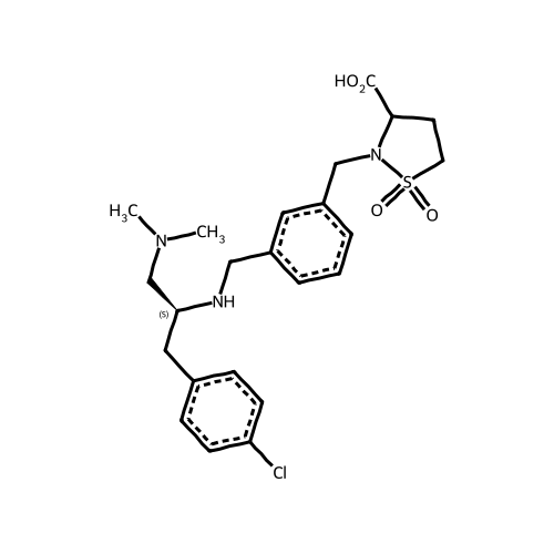 CN(C)C[C@H](Cc1ccc(Cl)cc1)NCc1cccc(CN2C(C(=O)O)CCS2(=O)=O)c1